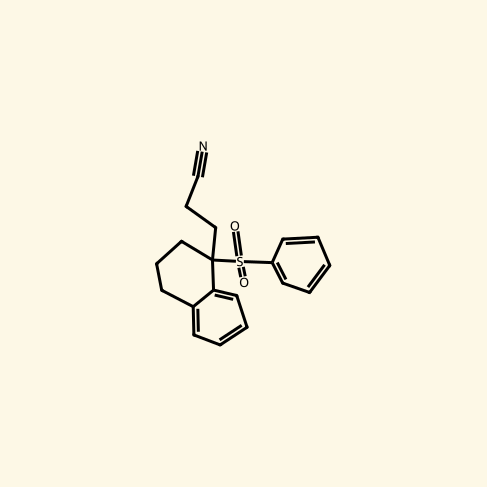 N#CCCC1(S(=O)(=O)c2ccccc2)CCCc2ccccc21